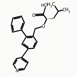 CC(C)C[C@H](OCc1ccc(-c2ccncc2)cc1-c1ccccc1)C(=O)O